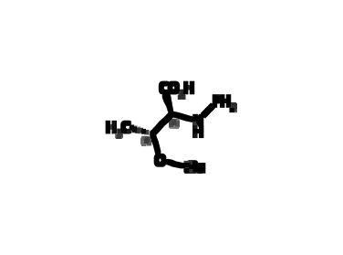 C[C@@H](OC(C)(C)C)[C@H](NP)C(=O)O